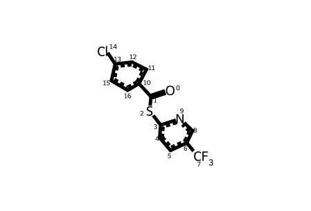 O=C(Sc1ccc(C(F)(F)F)cn1)c1ccc(Cl)cc1